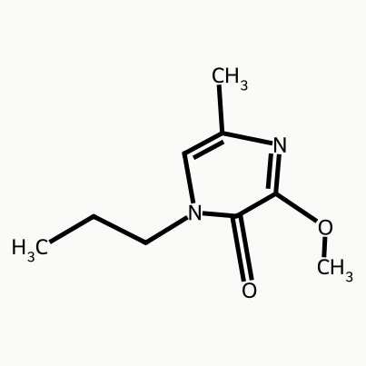 CCCn1cc(C)nc(OC)c1=O